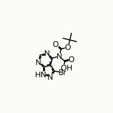 CC(C)(C)OC(=O)N(C(=O)O)c1ncnc2[nH]nc(Br)c12